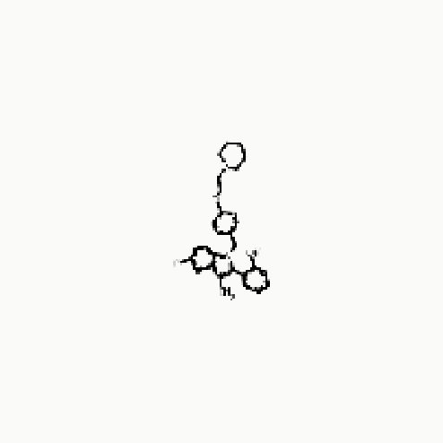 Cc1c(-c2ccccc2O)n(Cc2ccc(OCCN3CCCCC3)cc2)c2ccc(F)cc12